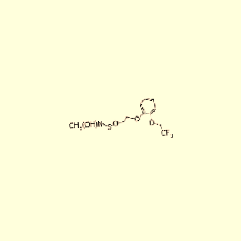 CN(O)SOCCOc1ccccc1OCC(F)(F)F